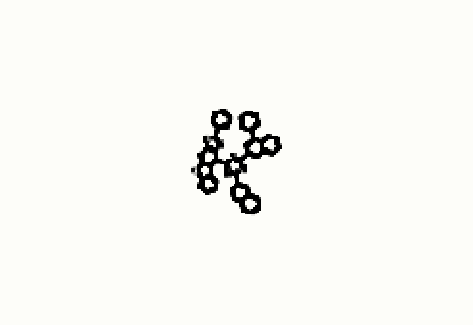 c1ccc(-c2nc3c(-c4nc(-c5ccc6ccccc6c5)nc(-c5cc(-c6ccccc6)c6ccccc6c5)n4)c4c(cc3o2)oc2ccccc24)cc1